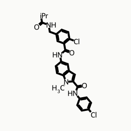 CC(C)C(=O)NCc1ccc(Cl)c(C(=O)Nc2ccc3c(c2)cc(C(=O)Nc2ccc(Cl)cc2)n3C)c1